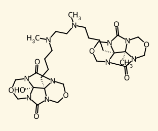 CN(CCCC[C@]12N3COCN1C(=O)N1COCN(C3=O)[C@]12C)CCN(C)CCCC[C@]12N3COCN1C(=O)N1COCN(C3=O)[C@]12O